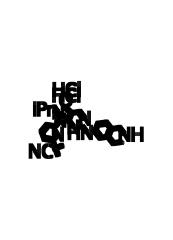 CC(C)n1c(=O)c2cnc(Nc3ccc4c(c3)CCNC4)nc2n1-c1cccc(C(C)(C)C#N)n1.Cl.Cl